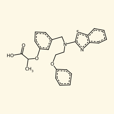 CC(Oc1cccc(CN(CCOc2ccccc2)c2nc3ccccc3s2)c1)C(=O)O